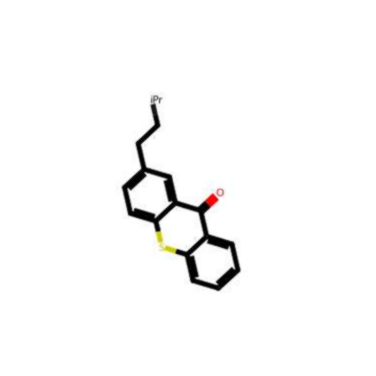 CC(C)CCc1ccc2sc3ccccc3c(=O)c2c1